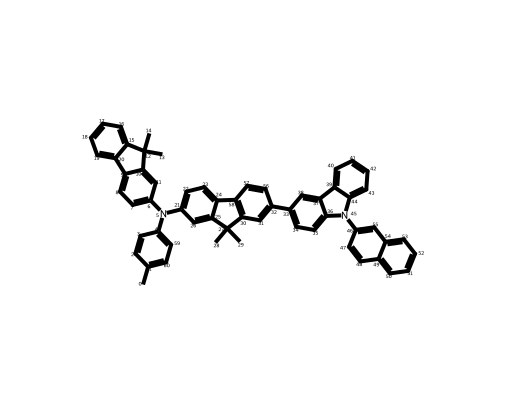 Cc1ccc(N(c2ccc3c(c2)C(C)(C)c2ccccc2-3)c2ccc3c(c2)C(C)(C)c2cc(-c4ccc5c(c4)c4ccccc4n5-c4ccc5ccccc5c4)ccc2-3)cc1